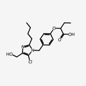 CCCCc1nc(CO)c(Cl)n1Cc1ccc(OC(CC)C(=O)O)cc1